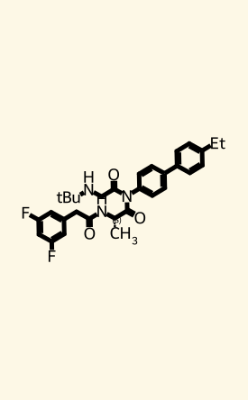 CCc1ccc(-c2ccc(N(C(=O)CNC(C)(C)C)C(=O)[C@H](C)NC(=O)Cc3cc(F)cc(F)c3)cc2)cc1